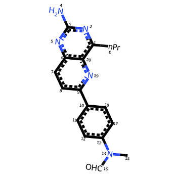 CCCc1nc(N)nc2ccc(-c3ccc(N(C)C=O)cc3)nc12